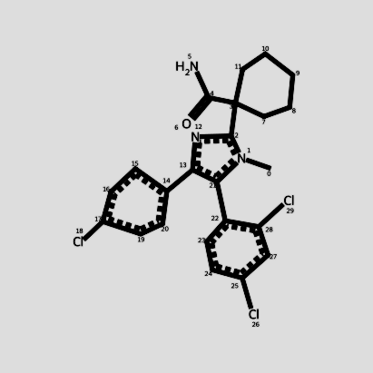 Cn1c(C2(C(N)=O)CCCCC2)nc(-c2ccc(Cl)cc2)c1-c1ccc(Cl)cc1Cl